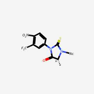 CC(=O)N1C(=S)N(c2ccc([N+](=O)[O-])c(C(F)(F)F)c2)C(=O)[C@H]1C